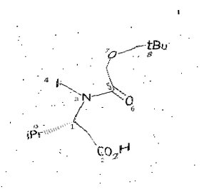 CC(C)[C@@H](C(=O)O)N(I)C(=O)OC(C)(C)C